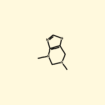 CN1CC2=C(N=C[N]2)N(C)C1